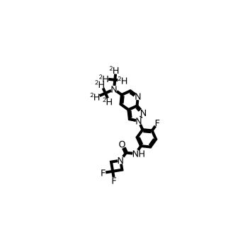 [2H]C([2H])([2H])N(c1cnc2nn(-c3cc(NC(=O)N4CC(F)(F)C4)ccc3F)cc2c1)C([2H])([2H])[2H]